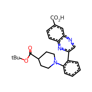 CC(C)(C)OC(=O)C1CCN(c2ccccc2-c2cnc3cc(C(=O)O)ccc3n2)CC1